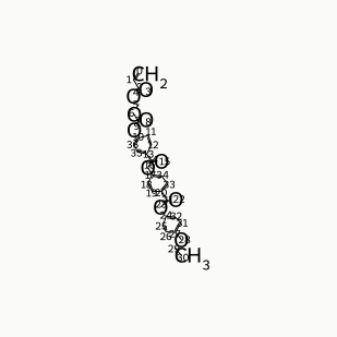 C=CC(=O)OCOC(=O)Oc1ccc(C(=O)Oc2ccc(C(=O)Oc3ccc(OCC)cc3)cc2)cc1